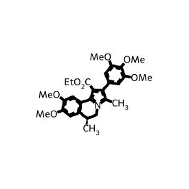 CCOC(=O)c1c(-c2cc(OC)c(OC)c(OC)c2)c(C)n2c1-c1cc(OC)c(OC)cc1[C@H](C)C2